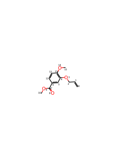 C=CCOc1cc(C(=O)OC)ccc1OC